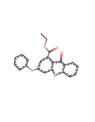 CCOC(=O)c1cc(Sc2ccccc2)cc2sc3ccccc3c(=O)c12